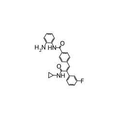 Nc1ccccc1NC(=O)c1ccc(C=C(C(=O)NC2CC2)c2cccc(F)c2)cc1